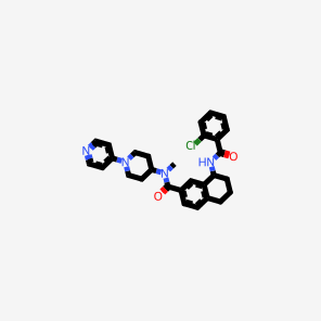 CN(C(=O)c1ccc2c(c1)C(NC(=O)c1ccccc1Cl)CCC2)C1CCN(c2ccncc2)CC1